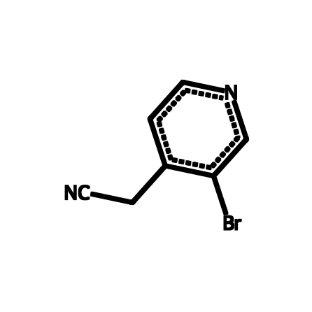 N#CCc1ccncc1Br